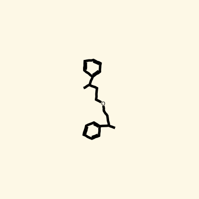 CC(CCOCCC(C)c1ccccc1)c1ccccc1